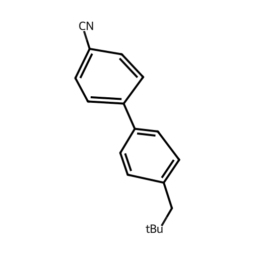 CC(C)(C)Cc1ccc(-c2ccc(C#N)cc2)cc1